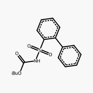 CC(C)COC(=O)NS(=O)(=O)c1ccccc1-c1ccccc1